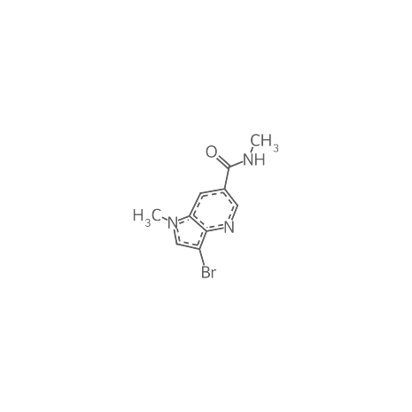 CNC(=O)c1cnc2c(Br)cn(C)c2c1